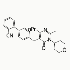 CCCc1nc(C)n(C2CCOCC2)c(=O)c1Cc1ccc(-c2ccccc2C#N)cc1